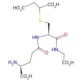 N[C@@H](CCC(=O)N[C@@H](CSC(CC(=O)O)C(=O)O)C(=O)NCC(=O)O)C(=O)O